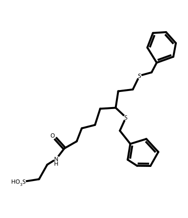 O=C(CCCCC(CCSCc1ccccc1)SCc1ccccc1)NCCS(=O)(=O)O